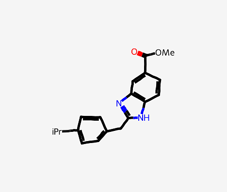 COC(=O)c1ccc2[nH]c(Cc3ccc(C(C)C)cc3)nc2c1